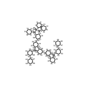 O=P1(c2ccccc2)N(c2ccccc2)c2ccc(-c3ccc4c(c3)c3cc(-c5ccc6c(c5)c5ccccc5n6-c5cccc(-c6ccccc6)c5)ccc3n4-c3cccc(-c4ccccc4)c3)cc2N1c1ccccc1